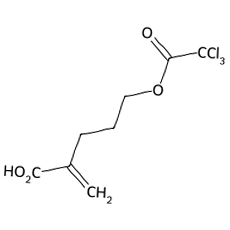 C=C(CCCOC(=O)C(Cl)(Cl)Cl)C(=O)O